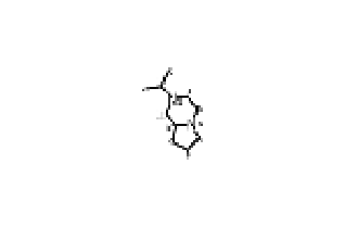 CC(C)N1CCN2CCCC2C1